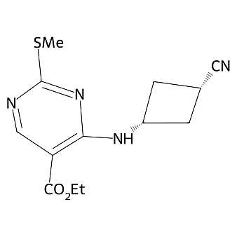 CCOC(=O)c1cnc(SC)nc1N[C@H]1C[C@@H](C#N)C1